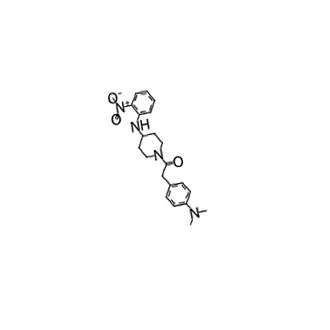 CN(C)c1ccc(CC(=O)N2CCC(Nc3ccccc3[N+](=O)[O-])CC2)cc1